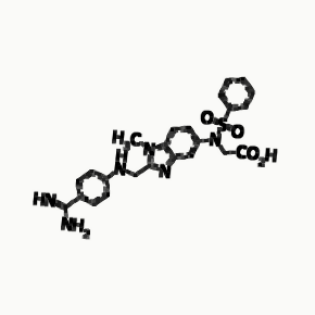 Cn1c(CNc2ccc(C(=N)N)cc2)nc2cc(N(CC(=O)O)S(=O)(=O)c3ccccc3)ccc21